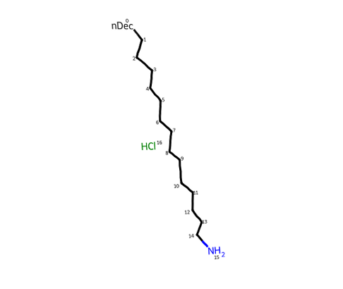 CCCCCCCCCCCCCCCCCCCCCCCCN.Cl